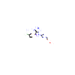 Nc1ncnc2c1c([SH]1C=CC(Cl)=C1)nn2C1CN(CCOC=O)C1